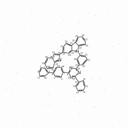 c1ccc(-c2ccc(-c3nc(-c4ccccc4)nc(-c4cccc(-n5c6ccccc6c6ccc(-c7cn8ccccc8n7)cc65)c4)n3)cc2)cc1